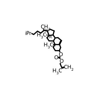 C=C(C)COC(=O)OC1CC[C@@]2(C)C(=CCC3C2CC[C@@]2(C)C3CC[C@@H]2[C@H](C)CCCC(C)C)C1